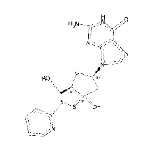 Nc1nc2c(ncn2[C@H]2C[C@@](O)(SSc3ccccn3)[C@@H](CO)O2)c(=O)[nH]1